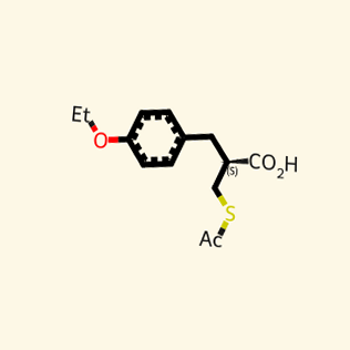 CCOc1ccc(C[C@H](CSC(C)=O)C(=O)O)cc1